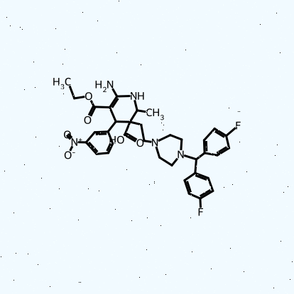 CCOC(=O)C1=C(N)NC(C)C(CCN2CCN(C(c3ccc(F)cc3)c3ccc(F)cc3)CC2)(C(=O)O)C1c1cccc([N+](=O)[O-])c1